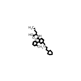 CSCCC(NC(=O)c1ccc(COCCC2CCCCC2)cc1-c1ccccc1C)C(=O)O